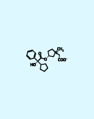 C[N@@+]1(CC(=O)[O-])CC[C@@H](OC(=O)[C@](O)(c2ccccc2)C2CCCC2)C1